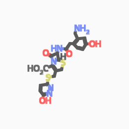 NCc1cc(O)ccc1CC(=O)NC1C(=O)N2C(C(=O)O)=C(CSc3ccc(O)nn3)CS[C@H]12